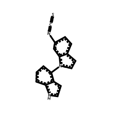 S=C=Nc1ccc2ccn(-c3cccc4[nH]ccc34)c2c1